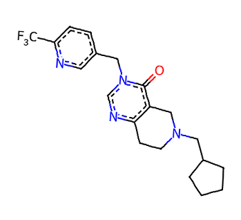 O=c1c2c(ncn1Cc1ccc(C(F)(F)F)nc1)CCN(CC1CCCC1)C2